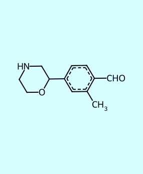 Cc1cc(C2CNCCO2)ccc1C=O